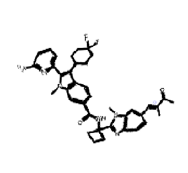 CC(=O)/C(C)=C/c1ccc2nc(C3(NC(=O)c4ccc5c(C6CCC(F)(F)CC6)c(-c6cccc(N)n6)n(C)c5c4)CCC3)n(C)c2c1